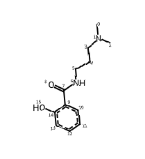 CN(C)CCCNC(=O)c1ccccc1O